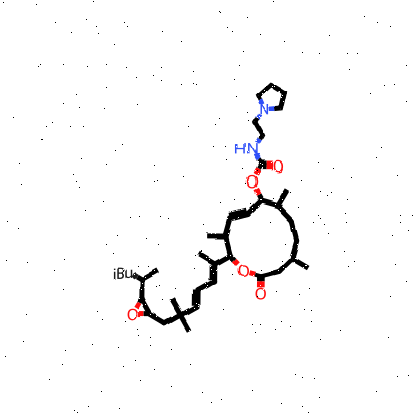 CCC(C)C(C)C1OC1CC(C)(C)/C=C/C=C(\C)C1OC(=O)CC(C)CCC(C)C(OC(=O)NCCN2CCCC2)/C=C/C1C